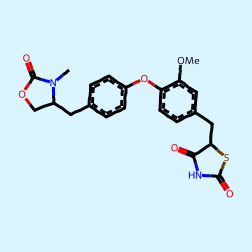 COc1cc(CC2SC(=O)NC2=O)ccc1Oc1ccc(CC2COC(=O)N2C)cc1